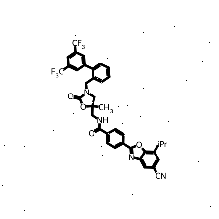 CC(C)c1cc(C#N)cc2nc(-c3ccc(C(=O)NCC4(C)CN(Cc5ccccc5-c5cc(C(F)(F)F)cc(C(F)(F)F)c5)C(=O)O4)cc3)oc12